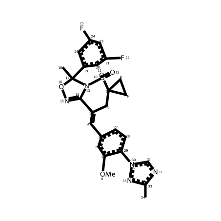 COc1cc(/C=C2\CC3(CC3)S(=O)(=O)N3C2=NOC3(C)c2cc(F)cc(F)c2)ccc1-n1cnc(C)n1